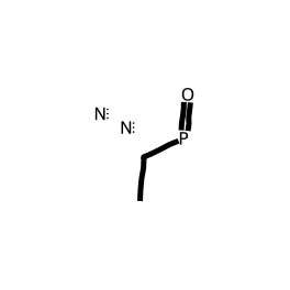 CCP=O.[N].[N]